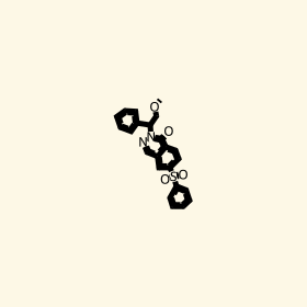 COCC(c1ccccc1)n1ncc2cc(S(=O)(=O)c3ccccc3)ccc2c1=O